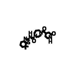 CC1(C)CCCc2nc(NC(=O)N3CCCN(C(=O)C4CCNC(=O)C4)CC3)sc21